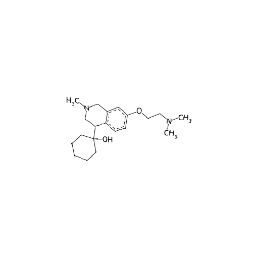 CN(C)CCOc1ccc2c(c1)CN(C)CC2C1(O)CCCCC1